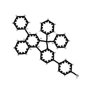 Brc1ccc(-c2ccc3c(c2)C(c2ccccc2)(c2ccccc2)c2cc(-c4ccccc4)c4ccccc4c2-3)cc1